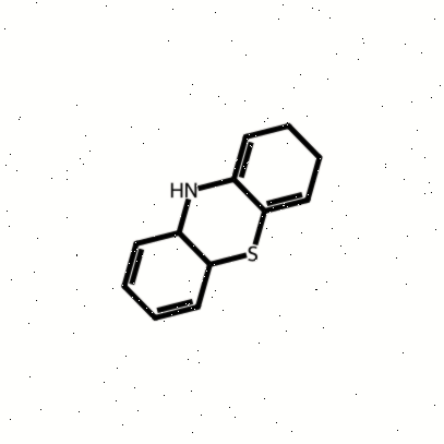 C1=CC2NC3=CCCC=C3SC2C=C1